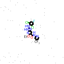 CCOc1nc2[nH]c(Nc3c(Cl)cc(F)cc3Cl)nc2cc1C(=O)Nc1cc(C(F)(F)F)ccn1